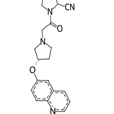 N#CC1CCCN1C(=O)CN1CC[C@H](Oc2ccc3ncccc3c2)C1